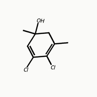 CC1=C(Cl)C(Cl)=CC(C)(O)C1